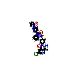 O=C(N[C@H]1CC[C@H](Cn2c(=O)n(-c3ccc(N4CCCC4=O)nc3)c3ccccc32)CC1)c1cc(Cl)cnc1C(F)F